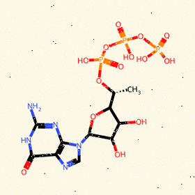 C[C@@H](OP(=O)(O)OP(=O)(O)OP(=O)(O)O)C1OC(n2cnc3c(=O)[nH]c(N)nc32)C(O)C1O